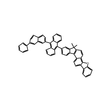 CC1(C)c2cc(-c3c4ccccc4c(-c4ccc5ccc(-c6ccccc6)cc5c4)c4ccccc34)ccc2-c2c1ccc1c2ccc2c3ccccc3oc12